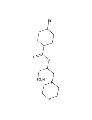 CCC1CCC(C(=O)OC(CN2CCOCC2)CS(=O)(=O)O)CC1